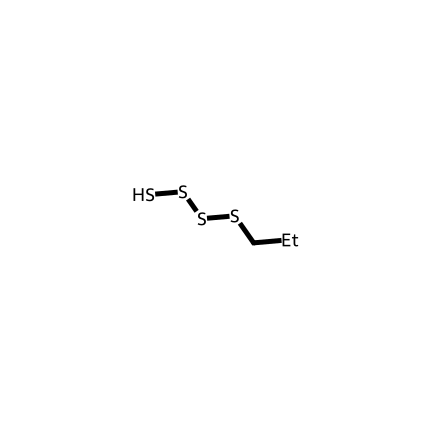 CCCSSSS